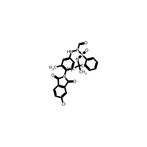 Cc1cc(NN(C=O)S(=O)(=NC(C)(C)C)c2ccccc2)ccc1N1C(=O)c2ccc(Cl)cc2C1=O